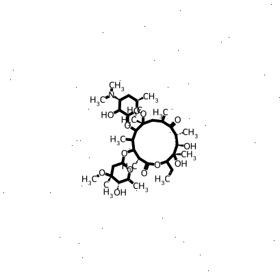 CCC1OC(=O)[C@H](C)C(OC2C[C@@](C)(OC)[C@@H](O)C(C)O2)C(C)C(OC2O[C@H](C)C[C@H](N(C)C)C2O)[C@](C)(OC)CC(C)C(=O)[C@H](C)[C@@H](O)[C@]1(C)O